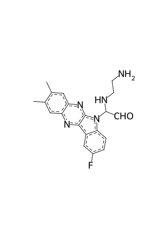 Cc1cc2nc3c4cc(F)ccc4n(C(C=O)NCCN)c3nc2cc1C